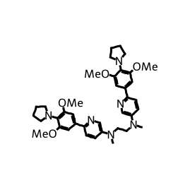 COc1cc(-c2ccc(N(C)CCN(C)c3ccc(-c4cc(OC)c(N5CCCC5)c(OC)c4)nc3)cn2)cc(OC)c1N1CCCC1